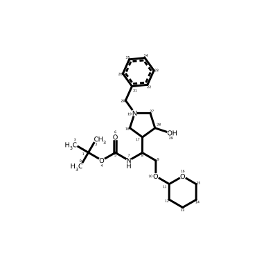 CC(C)(C)OC(=O)NC(COC1CCCCO1)C1CN(Cc2ccccc2)CC1O